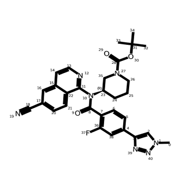 Cn1cc(-c2ccc(C(=O)N(c3nccc4cc(C#N)ccc34)[C@@H]3CCCN(C(=O)OC(C)(C)C)C3)c(F)c2)nn1